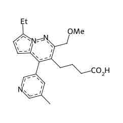 CCc1ccc2c(-c3cncc(C)c3)c(CCCC(=O)O)c(COC)nn12